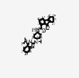 CN(C)c1nc(N[C@H]2CC[C@@H](NC(=O)c3cccc4c3C(=O)c3ccccc3-4)CC2)nc2ccccc12